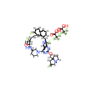 C[C@@]12CCCN(C1)c1nc(OC[C@@]34CCCN3C[C@H](F)C4)nc3c(F)c(ncc13)-c1cccc3ccc(F)c(c13)CC[C@H](F)C(=O)N2.O=C(O)C(F)(F)F.O=C(O)C(F)(F)F